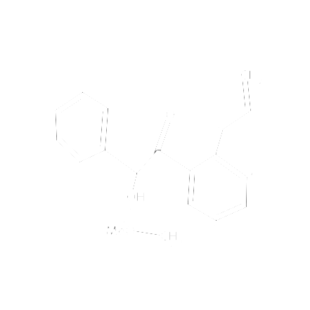 C=CCc1ccccc1C(=O)C(O)c1ccccc1.COC